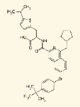 CC(C)c1ccc(CC(NC(=O)c2cc3cc(Oc4ccc(C(C)(C)C)cc4)ccc3c(CC3CCCC3)n2)C(=O)O)s1